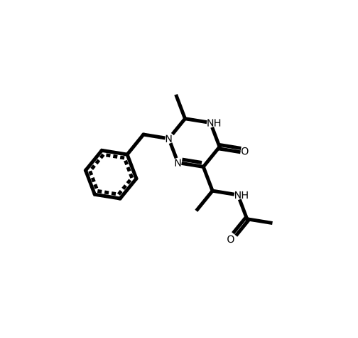 CC(=O)NC(C)C1=NN(Cc2ccccc2)C(C)NC1=O